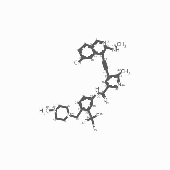 CNc1ncc2ccc(Cl)cc2c1C#Cc1cc(C(=O)Nc2ccc(CN3CCN(C)CC3)c(C(F)(F)F)c2)cnc1C